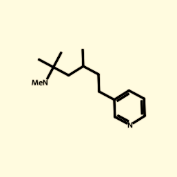 CNC(C)(C)CC(C)CCc1cccnc1